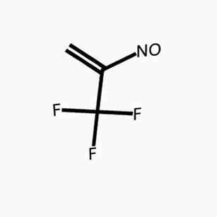 C=C(N=O)C(F)(F)F